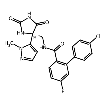 Cn1nccc1[C@@]1(CNC(=O)c2ccc(F)cc2-c2ccc(Cl)cc2)NC(=O)NC1=O